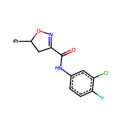 CC(C)C1CC(C(=O)Nc2ccc(F)c(Cl)c2)=NO1